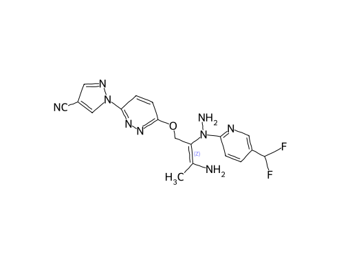 C/C(N)=C(\COc1ccc(-n2cc(C#N)cn2)nn1)N(N)c1ccc(C(F)F)cn1